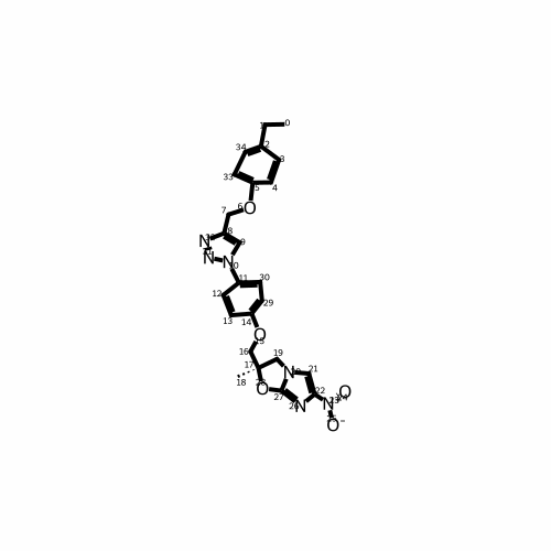 CCc1ccc(OCc2cn(-c3ccc(OC[C@@]4(C)Cn5cc([N+](=O)[O-])nc5O4)cc3)nn2)cc1